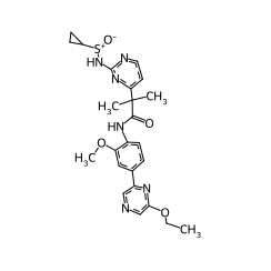 CCOc1cncc(-c2ccc(NC(=O)C(C)(C)c3ccnc(N[S+]([O-])C4CC4)n3)c(OC)c2)n1